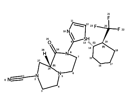 N#CN1CCN2CCN(C3=NC=C[SH]3[C@H]3CCCC[C@@H]3C(F)(F)F)C(=O)[C@H]2C1